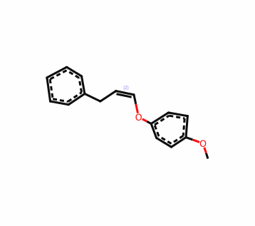 COc1ccc(O/C=C\Cc2ccccc2)cc1